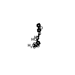 CS(=O)(=O)N1COc2ccc([C@@H](O)CNCCOc3ccc4c(c3)oc3ccccc34)cc21